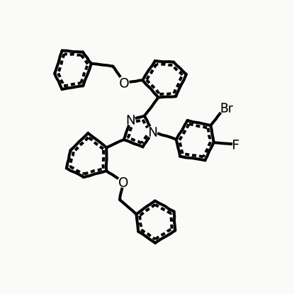 Fc1ccc(-n2cc(-c3ccccc3OCc3ccccc3)nc2-c2ccccc2OCc2ccccc2)cc1Br